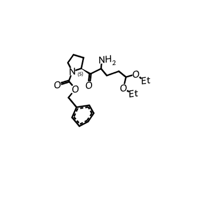 CCOC(CCC(N)C(=O)[C@@H]1CCCN1C(=O)OCc1ccccc1)OCC